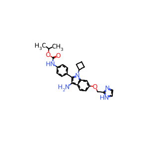 CC(C)OC(=O)Nc1ccc(-c2c(N)c3ccc(OCc4ncc[nH]4)cc3n2C2CCC2)cc1